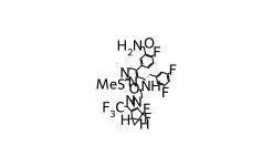 CSc1ncc(-c2ccc(F)c(C(N)=O)c2)c([C@H](Cc2cc(F)cc(F)c2)NC(=O)Cn2nc(C(F)(F)F)c3c2C(F)(F)[C@@H]2C[C@H]32)n1